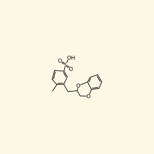 Cc1ccc(S(=O)(=O)O)cc1CC1COc2ccccc2O1